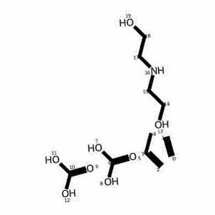 C=C.C=CC.O=C(O)O.O=C(O)O.OCCNCCO